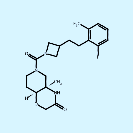 C[C@@]12CN(C(=O)N3CC(CCc4c(F)cccc4C(F)(F)F)C3)CC[C@@H]1OCC(=O)N2